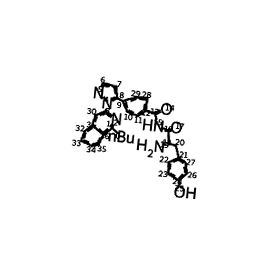 CCCCc1nc(-n2nccc2-c2ccc(C(=O)NC(=O)[C@@H](N)Cc3ccc(O)cc3)cc2)cc2ccccc12